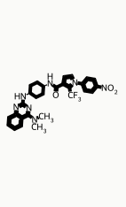 CN(C)c1nc(N[C@H]2CC[C@@H](NC(=O)c3ccn(-c4ccc([N+](=O)[O-])cc4)c3C(F)(F)F)CC2)nc2ccccc12